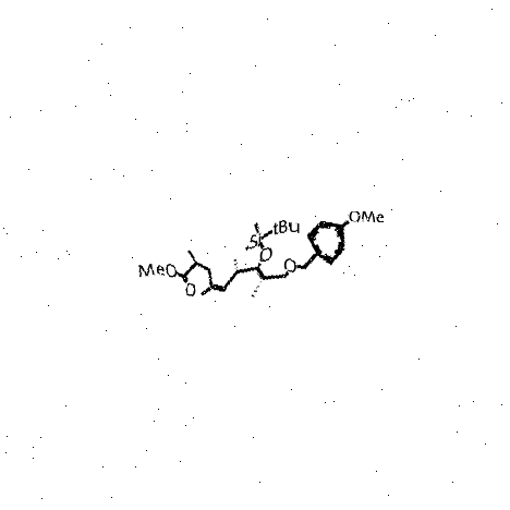 COC(=O)[C@@H](C)CC(C)=C[C@H](C)[C@@H](O[Si](C)(C)C(C)(C)C)[C@@H](C)COCc1ccc(OC)cc1